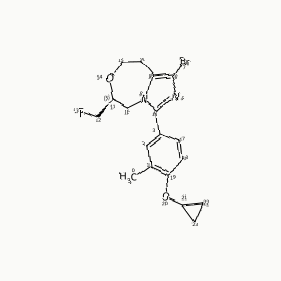 Cc1cc(-c2nc(Br)c3n2C[C@@H](CF)OCC3)ccc1OC1CC1